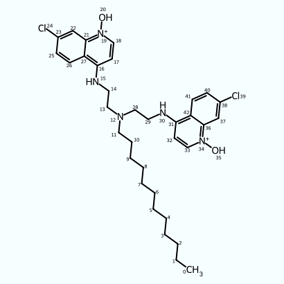 CCCCCCCCCCCCN(CCNc1cc[n+](O)c2cc(Cl)ccc12)CCNc1cc[n+](O)c2cc(Cl)ccc12